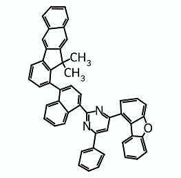 CC1(C)c2cc3ccccc3cc2-c2cccc(-c3ccc(-c4nc(-c5ccccc5)cc(-c5cccc6oc7ccccc7c56)n4)c4ccccc34)c21